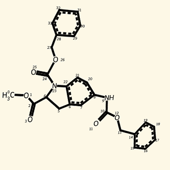 COC(=O)C1Cc2cc(NC(=O)OCc3ccccc3)ccc2N1C(=O)OCc1ccccc1